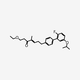 CCOCCC(=O)/C(C)=C/CCc1ccc(-c2cc(OC(C)C)ccc2F)cc1